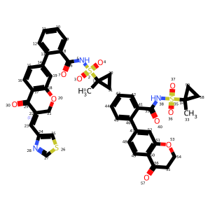 CC1(S(=O)(=O)NC(=O)c2ccccc2-c2ccc3c(c2)OC/C(=C\c2cscn2)C3=O)CC1.CC1(S(=O)(=O)NC(=O)c2ccccc2-c2ccc3c(c2)OCCC3=O)CC1